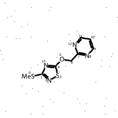 CSc1nsc(OCc2ncccn2)n1